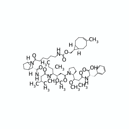 CC[C@H](C)[C@@H]([C@@H](CC(=O)N1CCC[C@H]1[C@H](OC)[C@@H](C)C(=O)N[C@@H](Cc1ccccc1)C(=O)O)OC)N(C)C(=O)[C@@H](NC(=O)[C@@H]1[C@H]2CC[C@H](C2)N1C(=O)CCCCCNC(=O)OC[C@@H]1[C@@H]2CC/C(C)=C\CC[C@@H]21)C(C)C